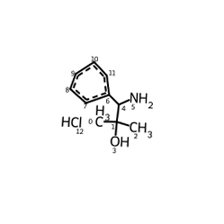 CC(C)(O)C(N)c1ccccc1.Cl